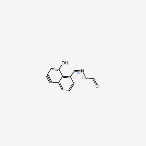 O=CN/N=C\c1cccc2c#ccc(O)c12